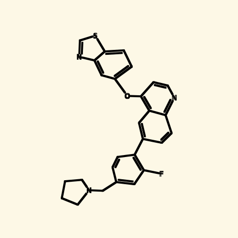 Fc1cc(CN2CCCC2)ccc1-c1ccc2nccc(Oc3ccc4scnc4c3)c2c1